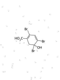 O=C(O)C1=C(Br)C=C(Br)C(O)(Br)C1